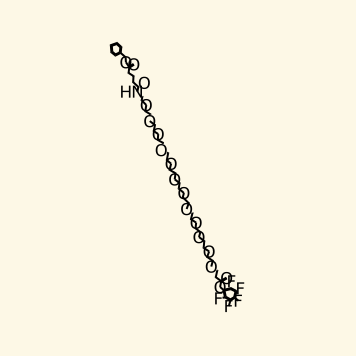 O=C(CCCC(=O)OCc1ccccc1)NCCOCCOCCOCCOCCOCCOCCOCCOCCOCCOCCOCCOCCC(=O)Oc1c(F)c(F)c(F)c(F)c1F